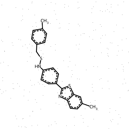 Cc1ccc(CSNc2ccc(-c3nc4ccc(C)cc4s3)cc2)cc1